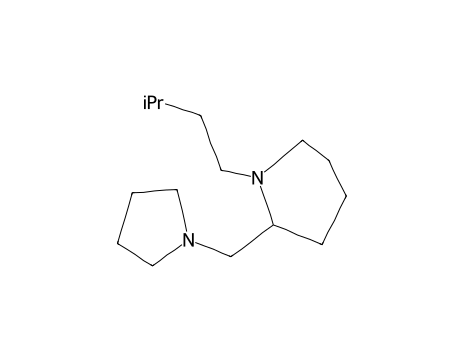 CC(C)CCN1CCCCC1CN1CCCC1